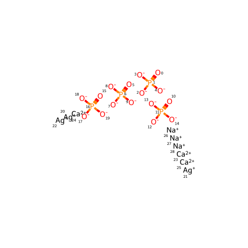 O=P([O-])([O-])[O-].O=P([O-])([O-])[O-].O=P([O-])([O-])[O-].O=P([O-])([O-])[O-].[Ag+].[Ag+].[Ag+].[Ca+2].[Ca+2].[Ca+2].[Na+].[Na+].[Na+]